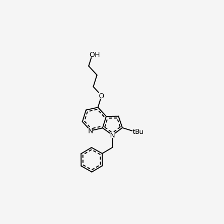 CC(C)(C)c1cc2c(OCCCO)ccnc2n1Cc1ccccc1